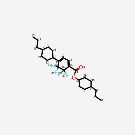 CCCC1CCC(OC(=O)C2=CC=C(C3CCC(CCC)CC3)C(F)(F)C2(F)F)CC1